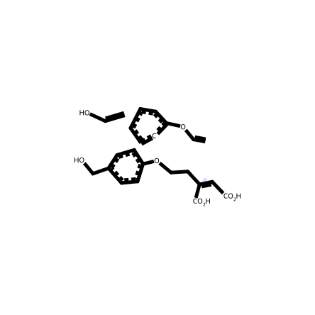 C=CO.C=COc1ccccc1.O=C(O)/C=C(/CCOc1ccc(CO)cc1)C(=O)O